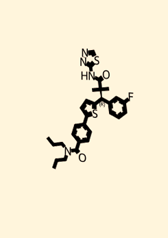 CCCN(CCC)C(=O)c1ccc(-c2ccc([C@H](c3cccc(F)c3)C(C)(C)C(=O)Nc3nncs3)s2)cc1